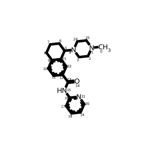 CN1CCN(C2CCCc3ccc(C(=O)Nc4ccccn4)cc32)CC1